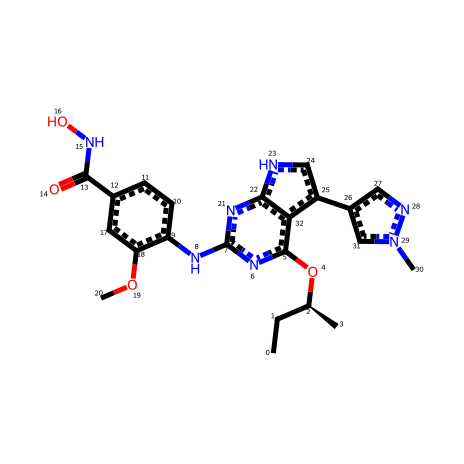 CC[C@H](C)Oc1nc(Nc2ccc(C(=O)NO)cc2OC)nc2[nH]cc(-c3cnn(C)c3)c12